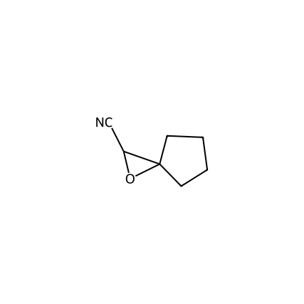 N#CC1OC12CCCC2